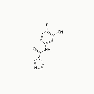 N#Cc1cc(NC(=O)n2ccnc2)ccc1F